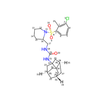 Cc1c(Cl)cccc1S(=O)(=O)N1CCCCC1CNC(=O)NC12C[C@@H]3C[C@H]4C[C@H](C1)C2(C4)C3